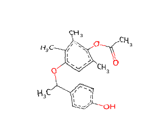 CC(=O)Oc1c(C)cc(OC(C)c2ccc(O)cc2)c(C)c1C